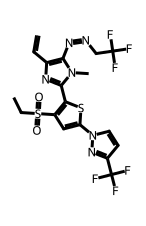 C=Cc1nc(-c2sc(-n3ccc(C(F)(F)F)n3)cc2S(=O)(=O)CC)n(C)c1/N=N\CC(F)(F)F